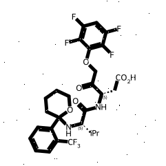 CC(C)[C@H](NC1(c2ccccc2C(F)(F)F)CCCCO1)C(=O)N[C@@H](CC(=O)O)C(=O)COc1c(F)c(F)cc(F)c1F